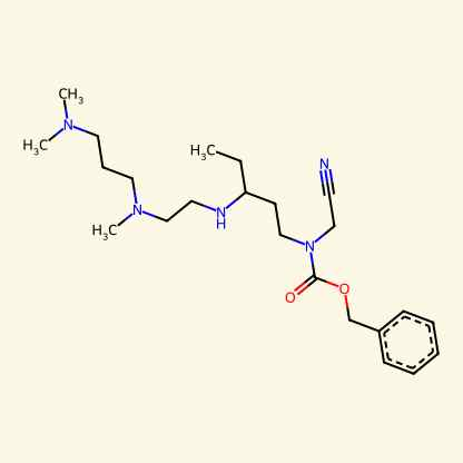 CCC(CCN(CC#N)C(=O)OCc1ccccc1)NCCN(C)CCCN(C)C